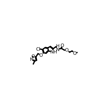 COCCOCC(=O)NCc1cc2cc(Cl)c(OCc3cc(C)no3)cc2[nH]1